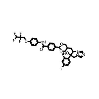 CC(CC1COC(c2ccc(C(=O)Nc3ccc(OCC(F)(F)C(F)F)cc3)cc2)OC1)C(O)(Cn1cncn1)c1ccc(F)cc1F